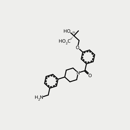 C[C@](O)(COc1cccc(C(=O)N2CCC(c3cccc(CN)c3)CC2)c1)C(=O)O